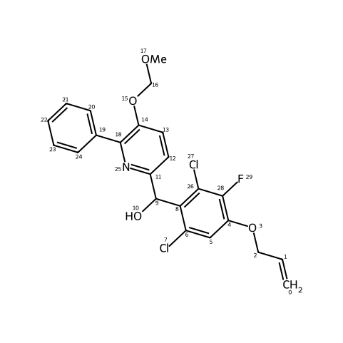 C=CCOc1cc(Cl)c(C(O)c2ccc(OCOC)c(-c3ccccc3)n2)c(Cl)c1F